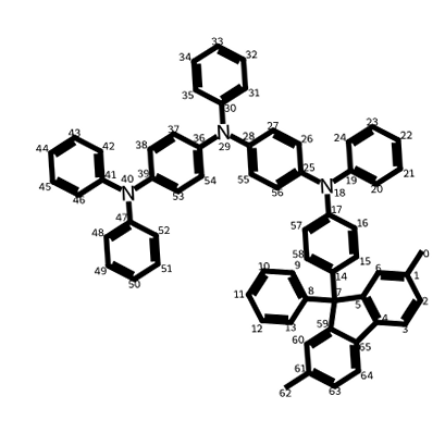 Cc1ccc2c(c1)C(c1ccccc1)(c1ccc(N(c3ccccc3)c3ccc(N(c4ccccc4)c4ccc(N(c5ccccc5)c5ccccc5)cc4)cc3)cc1)c1cc(C)ccc1-2